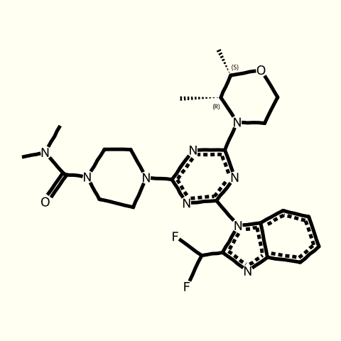 C[C@@H]1OCCN(c2nc(N3CCN(C(=O)N(C)C)CC3)nc(-n3c(C(F)F)nc4ccccc43)n2)[C@@H]1C